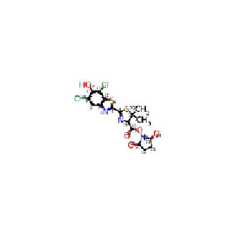 CC1(C)SC(c2nc3cc(Cl)c(O)c(Cl)c3s2)=NC1C(=O)ON1C(=O)CCC1=O